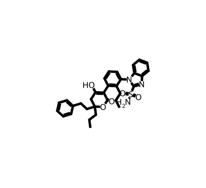 CCCc1c(C2=C(O)CC(CCC)(CCc3ccccc3)OC2=O)cccc1-n1c(S(N)(=O)=O)nc2ccccc21